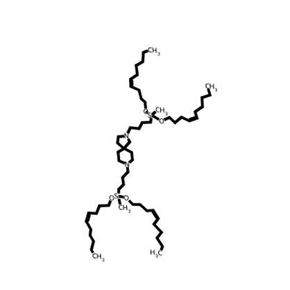 CCCCC/C=C\CCCO[Si](C)(CCCCN1CCC2(CC1)CCN(CCCC[Si](C)(OCCC/C=C\CCCCC)OCCC/C=C\CCCCC)C2)OCCC/C=C\CCCCC